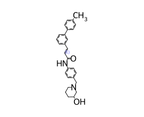 Cc1ccc(-c2cccc(/C=C/C(=O)Nc3ccc(CN4CCCC(O)C4)cc3)c2)cc1